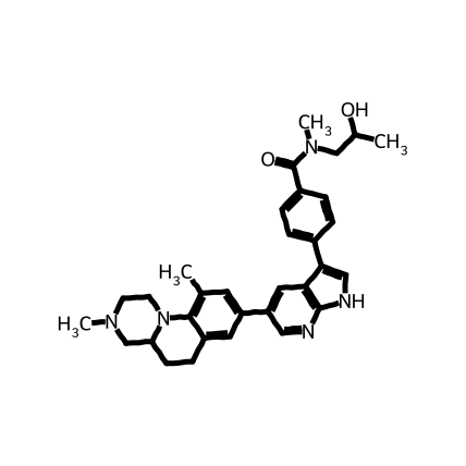 Cc1cc(-c2cnc3[nH]cc(-c4ccc(C(=O)N(C)CC(C)O)cc4)c3c2)cc2c1N1CCN(C)CC1CC2